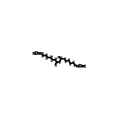 CCCCCCCCCCCCCCCCC(C)CC(C)CCCCCCCCCCCCCCCC